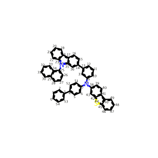 c1ccc(-c2ccc(N(c3cccc(-c4ccc5c6ccccc6n(-c6cccc7ccccc67)c5c4)c3)c3ccc4c(c3)sc3ccccc34)cc2)cc1